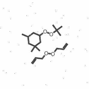 C=CCOOCC=C.CC1CC(OOC(C)(C)C)CC(C)(C)C1